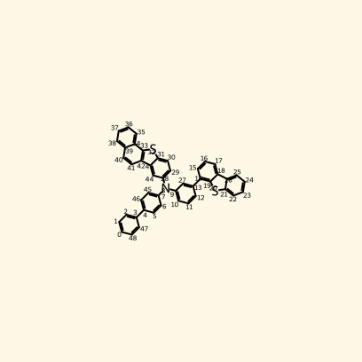 c1ccc(-c2ccc(N(c3cccc(-c4cccc5c4sc4ccccc45)c3)c3ccc4sc5c6ccccc6ccc5c4c3)cc2)cc1